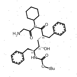 CC(C)(C)OC(=O)N[C@@H](Cc1ccccc1)[C@@H](O)C[C@@H](Cc1ccccc1)C(=O)N(C(=O)CN)C1CCCCC1